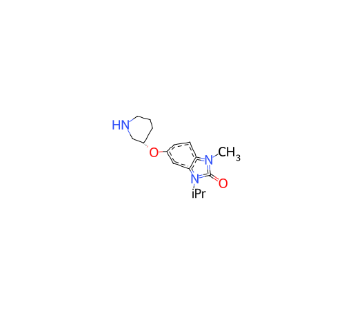 CC(C)n1c(=O)n(C)c2ccc(O[C@H]3CCCNC3)cc21